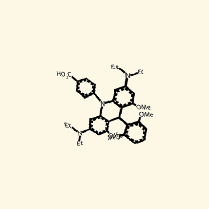 CCN(CC)c1cc(OC)c2c(c1)N(c1ccc(C(=O)O)cc1)c1cc(N(CC)CC)cc(OC)c1C2c1c(OC)cccc1OC